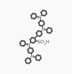 O=S(=O)(O)c1cc(N(c2ccccc2)c2ccc(N(c3ccccc3)c3ccccc3)cc2)ccc1-c1ccc(N(c2ccccc2)c2ccc(N(c3ccccc3)c3ccccc3)cc2)cc1